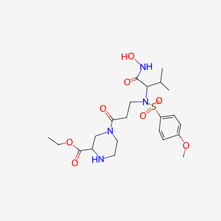 CCOC(=O)C1CN(C(=O)CCN(C(C(=O)NO)C(C)C)S(=O)(=O)c2ccc(OC)cc2)CCN1